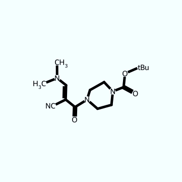 CN(C)C=C(C#N)C(=O)N1CCN(C(=O)OC(C)(C)C)CC1